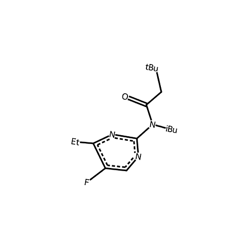 CCc1nc(N(C(=O)CC(C)(C)C)C(C)CC)ncc1F